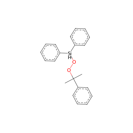 CC(C)(OO[SiH](c1ccccc1)c1ccccc1)c1ccccc1